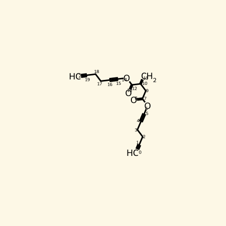 C#CCCC#COC(=O)CC(=C)C(=O)OC#CCCC#C